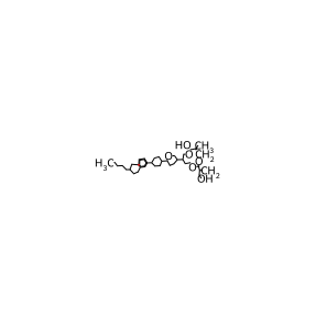 C=C(CO)C(=O)OCCC(COC(O)C(=C)C)C1CCC(C2CCC(c3ccc4c(c3)CCC(CCCCC)C4)CC2)OC1